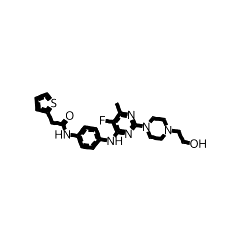 Cc1nc(N2CCN(CCO)CC2)nc(Nc2ccc(NC(=O)Cc3cccs3)cc2)c1F